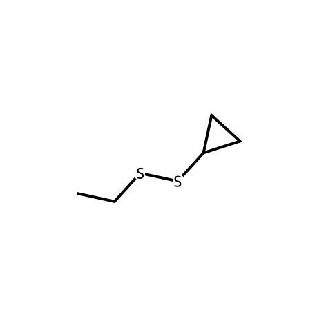 CCSSC1CC1